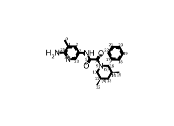 Cc1cc(NC(=O)C(=O)N2C[C@H](C)C[C@H](C)[C@H]2c2ccccc2)cnc1N